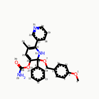 COc1ccc(COC2(c3ccccc3)NC(c3cccnc3)=C(C)C=C2OC(N)=O)cc1